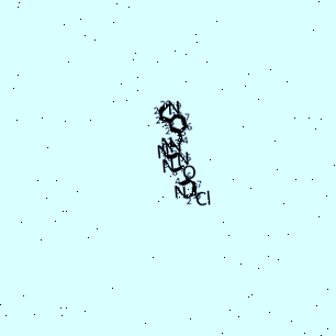 Clc1cncc(Oc2cnc3nnn(Cc4ccc5ncccc5c4)c3n2)c1